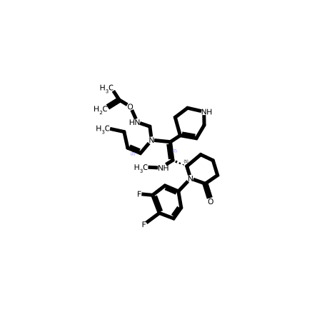 C=C(C)ONCN(/C=C\CC)/C(C1=CCNCC1)=C(\NC)[C@@H]1CCCC(=O)N1c1ccc(F)c(F)c1